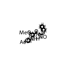 COc1cc(C(=O)NCC(CN2CCc3ccccc3C2)N=O)cc(NC2CCN(C(C)=O)CC2)n1